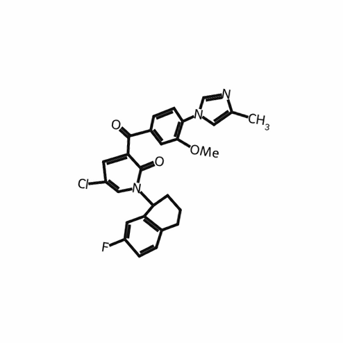 COc1cc(C(=O)c2cc(Cl)cn(C3CCCc4ccc(F)cc43)c2=O)ccc1-n1cnc(C)c1